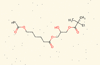 CCCC(=O)OCCCCCC(=O)OCC(O)COC(=O)C(C)(C)CC